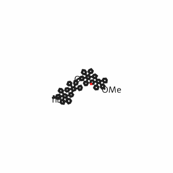 CCCCC(C)(C)c1ccc(-c2c(-c3ccccc3)cc(-c3cccc(-c4cc(-c5ccccc5)c(-c5ccc(Oc6ccc(-c7c(-c8ccccc8)cc(-c8cccc(-c9cc(-c%10ccccc%10)c(-c%10ccc(OC)cc%10)c(-c%10ccccc%10)c9-c9ccccc9)c8)c(-c8ccccc8)c7-c7ccccc7)cc6)cc5)c(-c5ccccc5)c4-c4ccccc4)c3)c(-c3ccccc3)c2-c2ccccc2)cc1